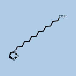 O=C(O)CCCCCCCCCCCCn1ccnn1